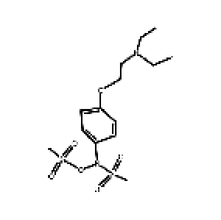 CCN(CC)CCOc1ccc(N(OS(C)(=O)=O)S(C)(=O)=O)cc1